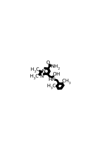 Cc1cccc(C)c1CNC(O)Cc1cc(C(N)=O)cn2c(C)c(C)nc12